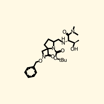 C[C@@H](O)[C@H](NCC1CCC2(CN(OCc3ccccc3)C2=O)N1C(=O)OC(C)(C)C)C(=O)N(C)C